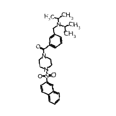 CC(C)N(Cc1cccc(C(=O)N2CCN(S(=O)(=O)c3ccc4ccccc4c3)CC2)c1)C(C)C